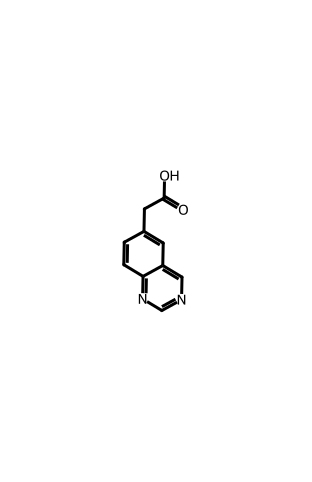 O=C(O)Cc1ccc2ncncc2c1